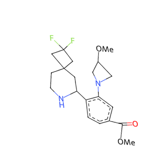 COC(=O)c1ccc(C2CC3(CCN2)CC(F)(F)C3)c(N2CC(OC)C2)c1